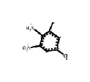 Cc1cc(Cl)cc([N+](=O)[O-])c1N